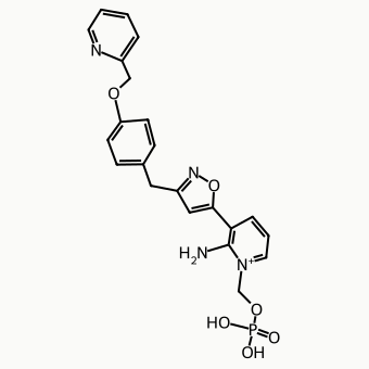 Nc1c(-c2cc(Cc3ccc(OCc4ccccn4)cc3)no2)ccc[n+]1COP(=O)(O)O